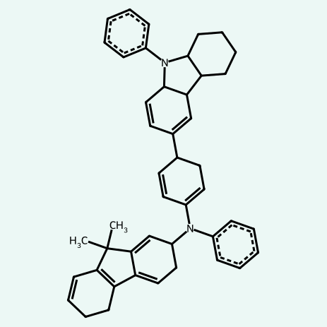 CC1(C)C2=CC(N(C3=CCC(C4=CC5C6CCCCC6N(c6ccccc6)C5C=C4)C=C3)c3ccccc3)CC=C2C2=C1C=CCC2